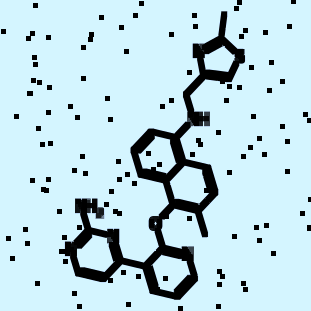 Cc1nc(CNc2cccc3c(Oc4ncccc4-c4ccnc(N)n4)c(C)ccc23)cs1